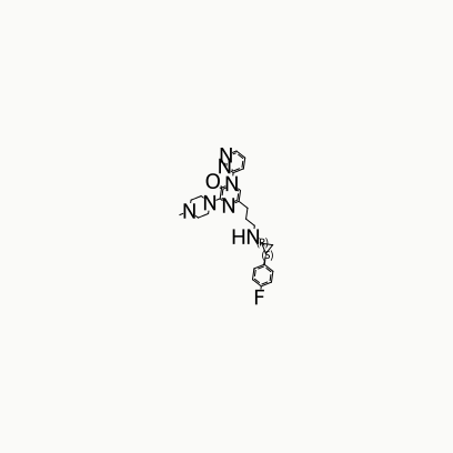 CN1CCN(c2nc(CCCN[C@@H]3C[C@H]3c3ccc(F)cc3)cn(-c3cccnn3)c2=O)CC1